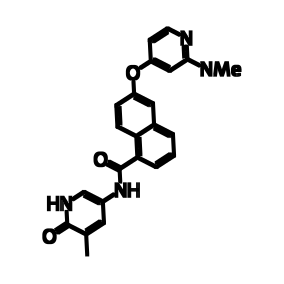 CNc1cc(Oc2ccc3c(C(=O)Nc4c[nH]c(=O)c(C)c4)cccc3c2)ccn1